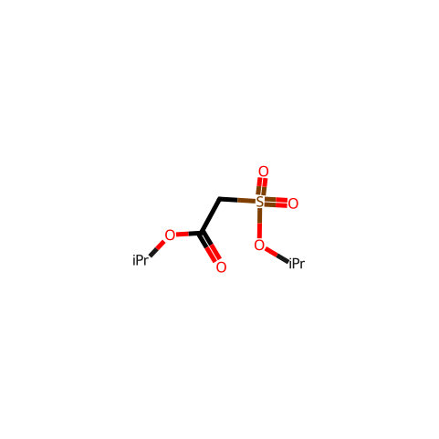 CC(C)OC(=O)CS(=O)(=O)OC(C)C